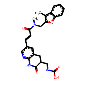 Cc1c(CN(C)C(=O)C=Cc2cnc3c(c2)CC(CNC(=O)O)C(=O)N3)oc2ccccc12